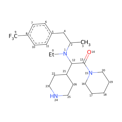 CCN(C(C)Cc1ccc(C(F)(F)F)cc1)C(C(=O)N1CCCCC1)C1CCNCC1